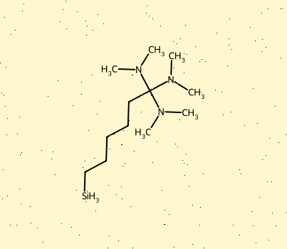 CN(C)C(CCCCC[SiH3])(N(C)C)N(C)C